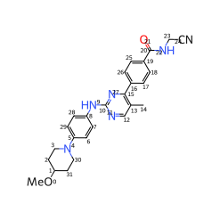 COC1CCN(c2ccc(Nc3ncc(C)c(-c4ccc(C(=O)NCC#N)cc4)n3)cc2)CC1